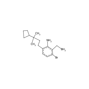 BCc1c(Br)ccc(CCC(C)(C)C2CCC2)c1N